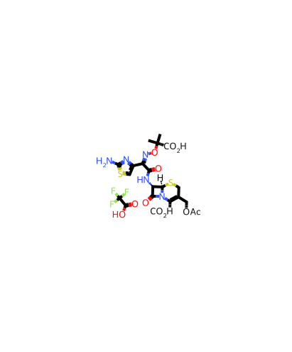 CC(=O)OCC1=C(C(=O)O)N2C(=O)[C@@H](NC(=O)/C(=N\OC(C)(C)C(=O)O)c3csc(N)n3)[C@H]2SC1.O=C(O)C(F)(F)F